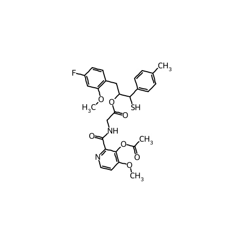 COc1cc(F)ccc1CC(OC(=O)CNC(=O)c1nccc(OC)c1OC(C)=O)C(S)c1ccc(C)cc1